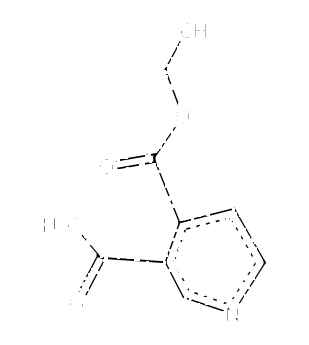 CCOC(=O)c1[c]cncc1C(C)=O